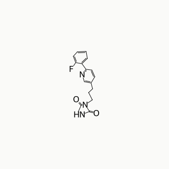 O=C1CNC(=O)N1CCCc1ccc(-c2ccccc2F)nc1